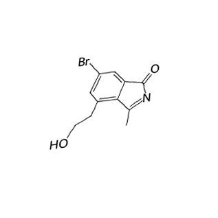 CC1=NC(=O)c2cc(Br)cc(CCO)c21